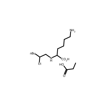 CCC(=O)O.CCCCC(CC)CNC(CCCCN)C(=O)O